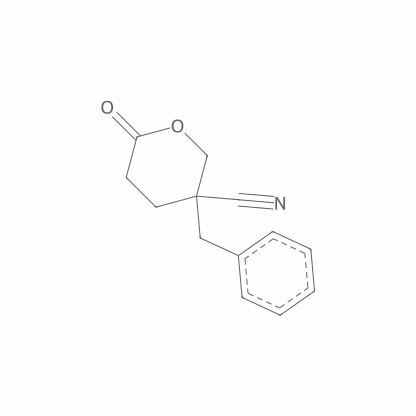 N#CC1(Cc2ccccc2)CCC(=O)OC1